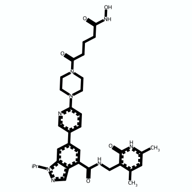 Cc1cc(C)c(CNC(=O)c2cc(-c3ccc(N4CCN(C(=O)CCCC(=O)NO)CC4)nc3)cc3c2cnn3C(C)C)c(=O)[nH]1